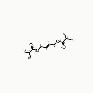 CC(C)C(=O)OCC=CCOC(=O)C(C)C